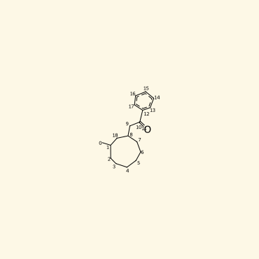 CC1CCCCCCC(CC(=O)c2ccccc2)C1